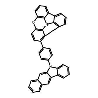 c1ccc2cc3c(cc2c1)c1ccccc1n3-c1ccc(-c2ccc3c4c2c2cccc5c6cccc(c6n4c52)O3)cc1